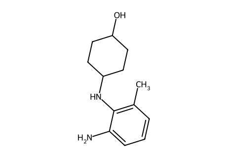 Cc1cccc(N)c1NC1CCC(O)CC1